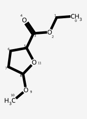 CCOC(=O)C1CCC(OC)O1